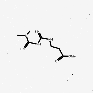 COC(=O)CCNC(=N)NC(=N)N(C)C